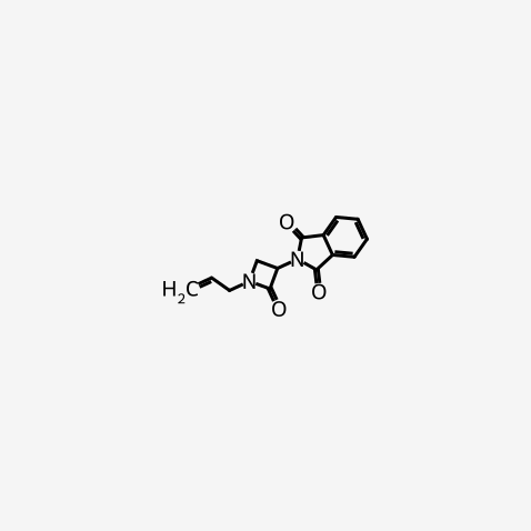 C=CCN1CC(N2C(=O)c3ccccc3C2=O)C1=O